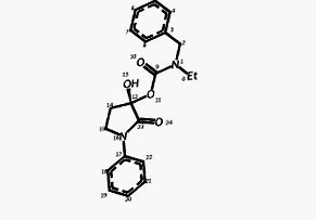 CCN(Cc1ccccc1)C(=O)O[C@@]1(O)CCN(c2ccccc2)C1=O